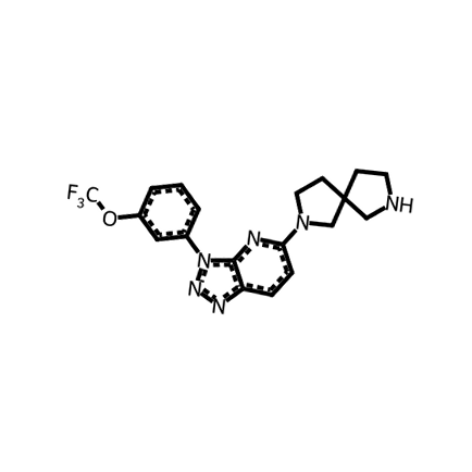 FC(F)(F)Oc1cccc(-n2nnc3ccc(N4CCC5(CCNC5)C4)nc32)c1